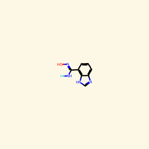 ON=C(NF)c1cccc2nc[nH]c12